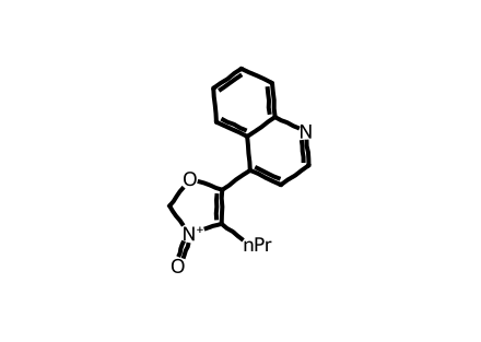 CCCC1=C(c2ccnc3ccccc23)OC[N+]1=O